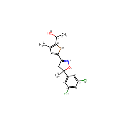 Cc1cc(C2=NOC(c3cc(Cl)cc(Cl)c3)(C(F)(F)F)C2)sc1C(C)O